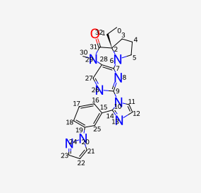 CC[C@@]12CCCN1c1nc(-n3ccnc3-c3cccc(-n4cccn4)c3)ncc1N(C)C2=O